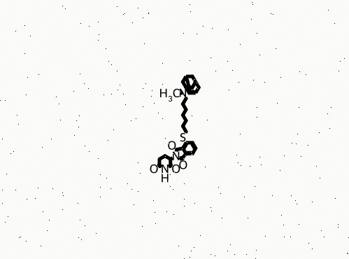 CN(CCCCCCCSc1cccc2c1C(=O)N(C1CCC(=O)NC1=O)C2=O)C12CC3CC(CC(C3)C1)C2